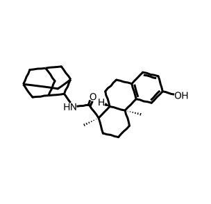 C[C@@]1(C(=O)NC2C3CC4CC(C3)CC2C4)CCC[C@]2(C)c3cc(O)ccc3CC[C@@H]12